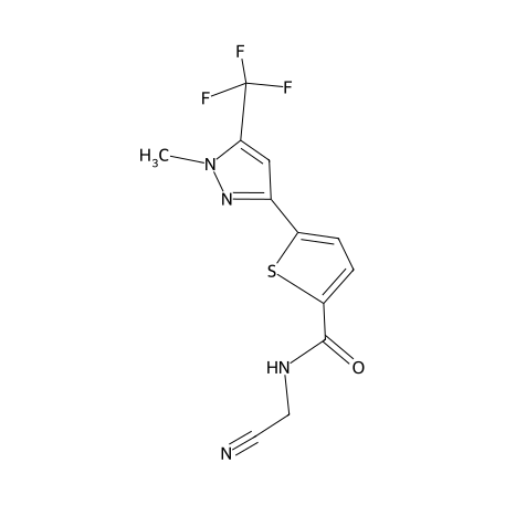 Cn1nc(-c2ccc(C(=O)NCC#N)s2)cc1C(F)(F)F